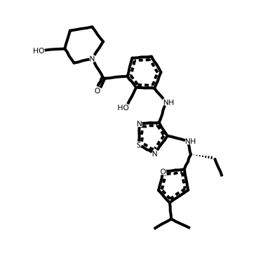 CC[C@@H](Nc1nsnc1Nc1cccc(C(=O)N2CCCC(O)C2)c1O)c1cc(C(C)C)co1